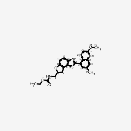 CCOC(=O)NCC1Cc2c(ccc3nc(-c4cc(C)cc5nc(OC)cnc45)sc23)O1